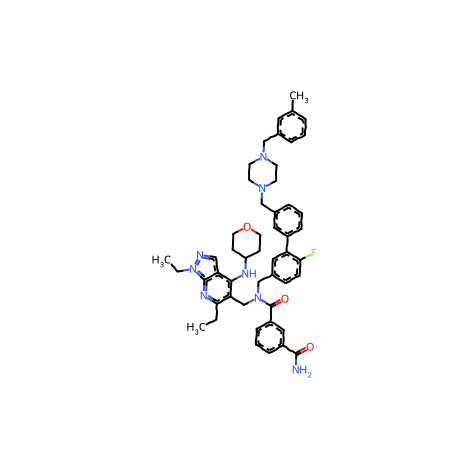 CCc1nc2c(cnn2CC)c(NC2CCOCC2)c1CN(Cc1ccc(F)c(-c2cccc(CN3CCN(Cc4cccc(C)c4)CC3)c2)c1)C(=O)c1cccc(C(N)=O)c1